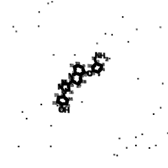 NCc1cccc(Oc2cccc3nc(-c4cn(-c5ccc(O)cc5)nn4)ccc23)c1